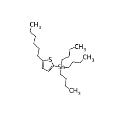 CCCCCCc1cc[c]([Sn]([CH2]CCC)([CH2]CCC)[CH2]CCC)s1